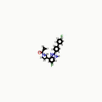 Cn1c(-c2ccc(-c3ccc(F)cc3)cc2)nc2c(C3CCN(C(=O)C4CC4)C3)cc(F)cc21